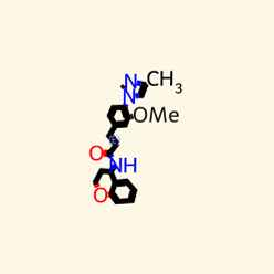 COc1cc(/C=C/C(=O)NC2CCOc3ccccc32)ccc1-n1cnc(C)c1